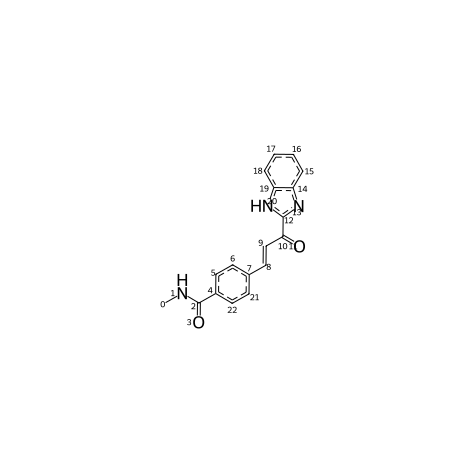 CNC(=O)c1ccc(C=CC(=O)c2nc3ccccc3[nH]2)cc1